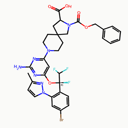 Cc1ccn(-c2cc(Br)ccc2[C@](F)(Oc2cc(N3CCC4(CC3)CC(C(=O)O)N(C(=O)OCc3ccccc3)C4)nc(N)n2)C(F)F)n1